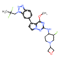 COc1nc(N[C@@H]2CCN(C3COC3)C[C@@H]2F)nn2ccc(-c3ccc4nnn(CC(C)(F)F)c4c3)c12